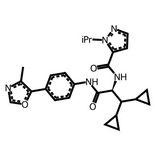 Cc1ncoc1-c1ccc(NC(=O)[C@@H](NC(=O)c2ccnn2C(C)C)C(C2CC2)C2CC2)cc1